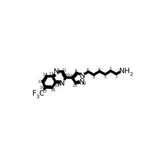 NCCCCCCn1cc(-c2cnc3ccc(C(F)(F)F)cc3n2)cn1